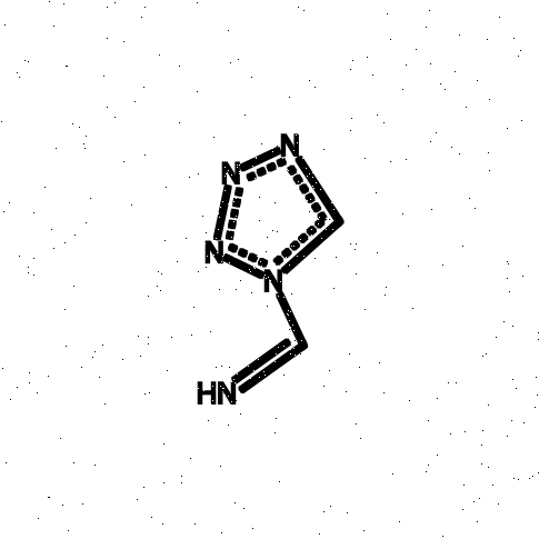 N=Cn1cnnn1